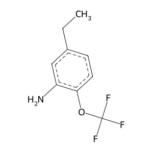 CCc1ccc(OC(F)(F)F)c(N)c1